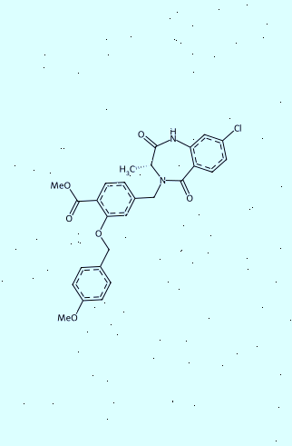 COC(=O)c1ccc(CN2C(=O)c3ccc(Cl)cc3NC(=O)[C@H]2C)cc1OCc1ccc(OC)cc1